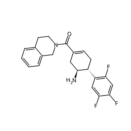 N[C@H]1CC(C(=O)N2CCc3ccccc3C2)=CC[C@@H]1c1cc(F)c(F)cc1F